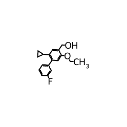 CCOc1cc(-c2cccc(F)c2)c(C2CC2)cc1CO